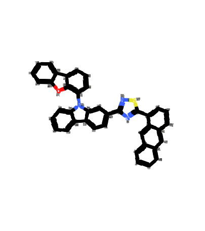 c1ccc2cc3c(-c4nc(-c5ccc6c7ccccc7n(-c7cccc8c7oc7ccccc78)c6c5)ns4)cccc3cc2c1